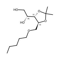 CCCCCOC[C@@H]1OC(C)(C)O[C@H]1[C@H](O)CO